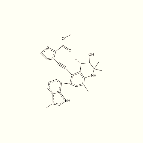 COC(=O)c1sccc1C#Cc1c(-c2cccc3c(C)c[nH]c23)cc(C)c2c1[C@H](C)C(O)C(C)(C)N2